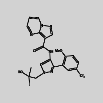 COc1ccc(C(F)(F)F)cc1-c1nn(CC(C)(C)O)cc1NC(=O)c1cnn2cccnc12